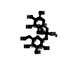 CC(C)(C[C@H]1C[C@@H](O)[C@H](O)[C@@H](O)[C@@H]1O)O[C@@H]1O[C@H](CO)[C@@H](O)[C@H](O)[C@H]1O